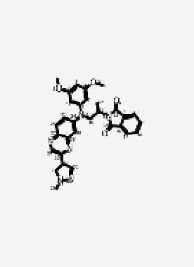 COc1cc(OC)cc(N(CC(C)N2C(=O)c3ccccc3C2=O)c2ccc3ncc(C4C=NN(C)C4)nc3c2)c1